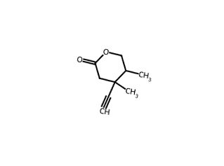 C#CC1(C)CC(=O)OCC1C